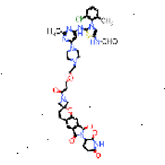 Cc1nc(NC2SC(NC=O)=CN2c2c(C)cccc2Cl)cc(N2CCN(CCOCCC(=O)N3CC4(CCc5cc6c(cc5O4)C(=O)N(C4CCC(=O)NC4=O)C6=O)C3)CC2)n1